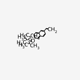 C=Cc1ccc2cc(O[Si](C(C)C)(C(C)C)C(C)C)ccc2c1